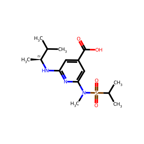 CC(C)[C@H](C)Nc1cc(C(=O)O)cc(N(C)S(=O)(=O)C(C)C)n1